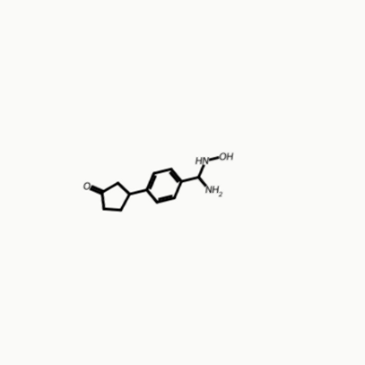 NC(NO)c1ccc(C2CCC(=O)C2)cc1